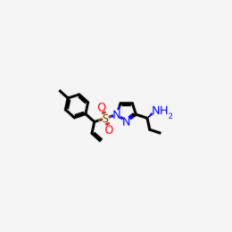 C=CC(c1ccc(C)cc1)S(=O)(=O)n1ccc([C@@H](N)CC)n1